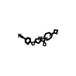 N#Cc1ccc(O[C@H]2CN[C@@H](C(=O)N3CCCN(C4CCC4)CC3)C2)cc1